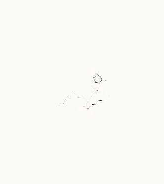 CC=CC=CC(=O)O.Cc1c(C)c2c(c(C)c1O)CC[C@@](C)(CCC[C@H](C)CCC[C@H](C)CCCC(C)C)O2